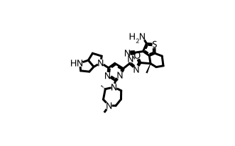 C[C@H]1CN(C)CCCN1c1nc(-c2noc([C@@]3(C)CCCc4sc(N)c(C#N)c43)n2)cc(N2CCC3NCCC32)n1